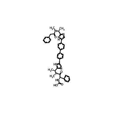 C[C@@H](c1ncc(-c2ccc(-c3ccc(-c4cnc([C@H](C)N(C)C(=O)[C@H](NC(=O)O)c5ccccc5)[nH]4)cc3)cc2)[nH]1)N(C)C(=O)Cc1ccccc1